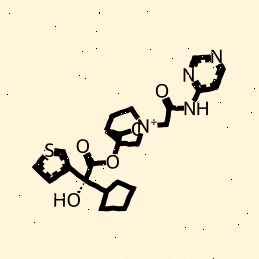 O=C(C[N+]12CCC(CC1)C(OC(=O)[C@](O)(c1ccsc1)C1CCCC1)C2)Nc1ccncn1